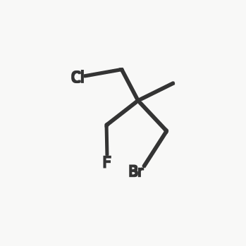 CC(CF)(CCl)CBr